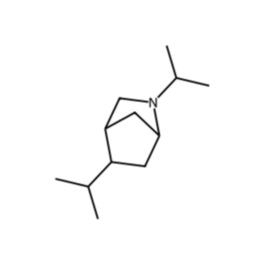 CC(C)C1CC2CC1CN2C(C)C